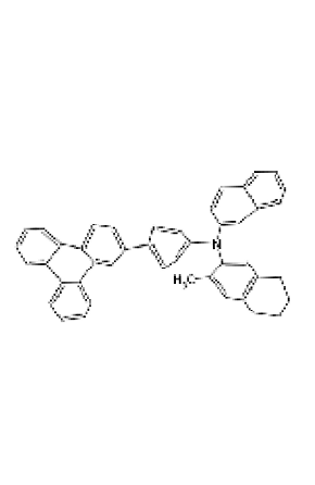 Cc1cc2c(cc1N(c1ccc(-c3ccc4c5ccccc5c5ccccc5c4c3)cc1)c1ccc3ccccc3c1)CCCC2